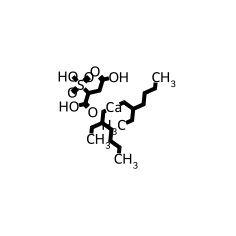 CCCCC(CC)[CH2][Ca][CH2]C(CC)CCCC.O=C(O)CC(C(=O)O)S(=O)(=O)O